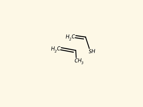 C=CC.C=CS